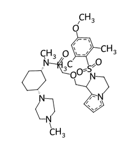 COc1cc(C)c(S(=O)(=O)N2CCn3cccc3C2COCC(=O)N(C)[C@H]2CCC[C@@H](N3CCN(C)CC3)C2)c(C)c1